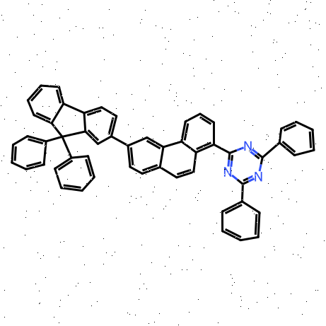 c1ccc(-c2nc(-c3ccccc3)nc(-c3cccc4c3ccc3ccc(-c5ccc6c(c5)C(c5ccccc5)(c5ccccc5)c5ccccc5-6)cc34)n2)cc1